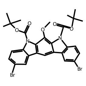 COc1c2c(cc3c4cc(Br)ccc4n(C(=O)OC(C)(C)C)c13)c1cc(Br)ccc1n2C(=O)OC(C)(C)C